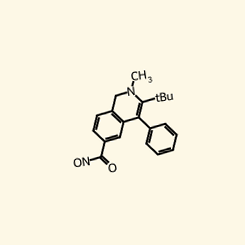 CN1Cc2ccc(C(=O)N=O)cc2C(c2ccccc2)=C1C(C)(C)C